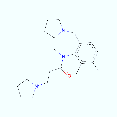 Cc1ccc2c(c1C)N(C(=O)CCN1CCCC1)CC1CCCN1C2